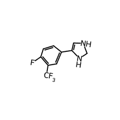 Fc1ccc(C2=CNCN2)cc1C(F)(F)F